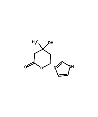 CC1(O)CCOC(=O)C1.c1c[nH]cn1